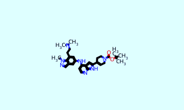 CN(C)CCc1cc(Nc2ccnc3[nH]c(C4=CCN(C(=O)OC(C)(C)C)CC4)cc23)cc2cnn(C)c12